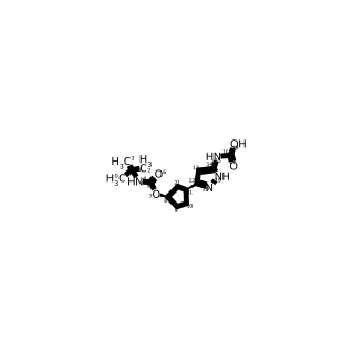 CC(C)(C)NC(=O)O[C@@H]1CC[C@H](c2cc(NC(=O)O)[nH]n2)C1